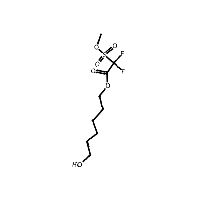 COS(=O)(=O)C(F)(F)C(=O)OCCCCCCO